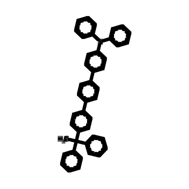 CC(c1ccccc1)(c1ccccc1)c1ccc(-c2ccc(-c3ccc(N(c4ccccc4)c4ccccc4)cc3)cc2)cc1